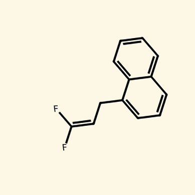 FC(F)=CCc1cccc2ccccc12